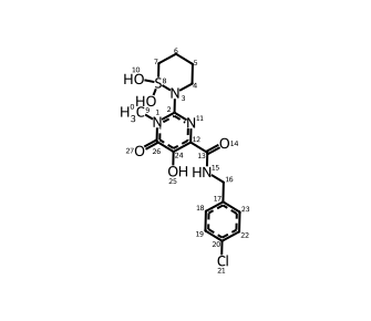 Cn1c(N2CCCCS2(O)O)nc(C(=O)NCc2ccc(Cl)cc2)c(O)c1=O